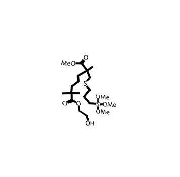 COC(=O)C(C)(CCCC(C)(C)C(=O)OCCO)CSCCC[Si](OC)(OC)OC